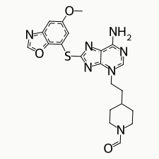 COc1cc(Sc2nc3c(N)ncn(CCC4CCN(C=O)CC4)c-3n2)c2ocnc2c1